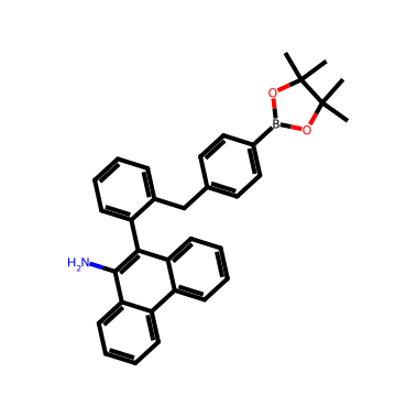 CC1(C)OB(c2ccc(Cc3ccccc3-c3c(N)c4ccccc4c4ccccc34)cc2)OC1(C)C